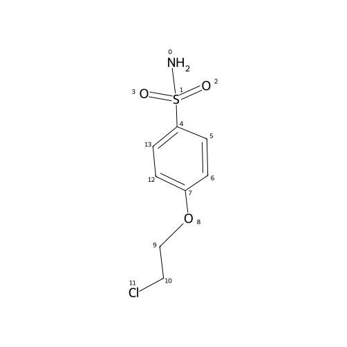 NS(=O)(=O)c1ccc(OCCCl)cc1